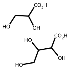 O=C(O)C(O)C(O)CO.O=C(O)C(O)CO